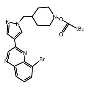 CC(C)(C)C(=O)ON1CCC(Cn2cc(-c3cnc4cccc(Br)c4n3)cn2)CC1